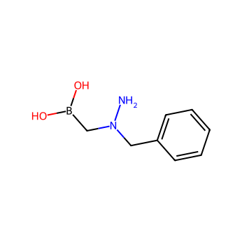 NN(CB(O)O)Cc1ccccc1